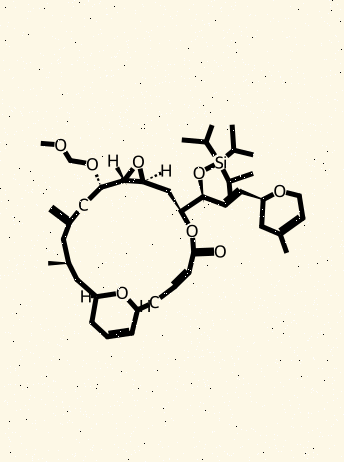 C=C1C[C@H](C)C[C@@H]2CC=C[C@@H](C/C=C\C(=O)O[C@H]([C@H](/C=C/[C@@H]3CC(C)=CCO3)O[Si](C(C)C)(C(C)C)C(C)C)C[C@@H]3O[C@H]3[C@@H](OCOC)C1)O2